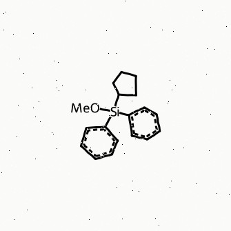 CO[Si](c1ccccc1)(c1ccccc1)C1CCCC1